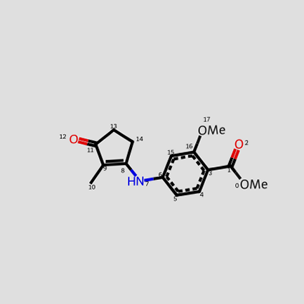 COC(=O)c1ccc(NC2=C(C)C(=O)CC2)cc1OC